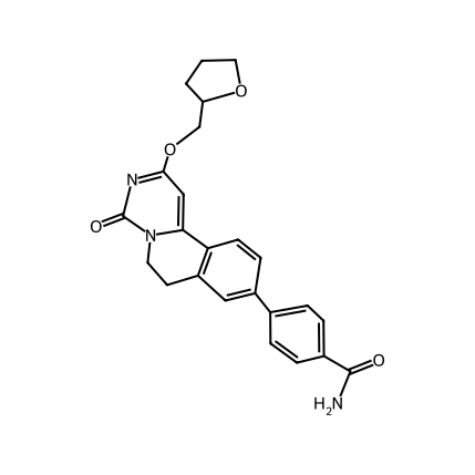 NC(=O)c1ccc(-c2ccc3c(c2)CCn2c-3cc(OCC3CCCO3)nc2=O)cc1